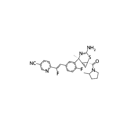 CC1CCCN1C(=O)[C@]12C=C1[C@@](C)(c1cc(/C=C(\F)c3ccc(C#N)cn3)ccc1F)N=C(N)S2